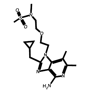 Cc1nc(N)c2nc(CC3CC3)n(CCOCCN(C)S(C)(=O)=O)c2c1C